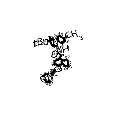 Cc1ccc(-n2nc(C(C)(C)C)cc2NC(=O)Cc2ccc(OCCN3CCOCC3)c3ccccc23)cc1